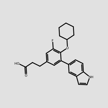 O=C(O)CCc1cc(F)c(OC2CCCCC2)c(-c2ccc3[nH]ccc3c2)c1